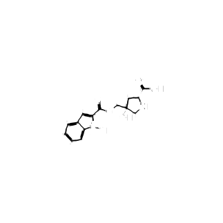 Cn1c(C(=O)OC[C@@]2(O)CN[C@H](C(=O)O)C2)cc2ccccc21